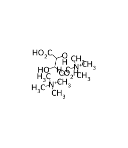 C[N+](C)(C)C.C[N+](C)(C)C.O=C(O)C(O)C(O)C(=O)O